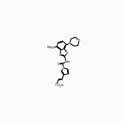 COc1ccc(N2CCOCC2)c2sc(NC(=O)n3ccc(C=CC(=O)O)c3)nc12